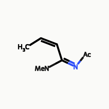 C/C=C\C(=N/C(C)=O)NC